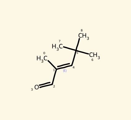 C/C(C=O)=C\C(C)(C)C